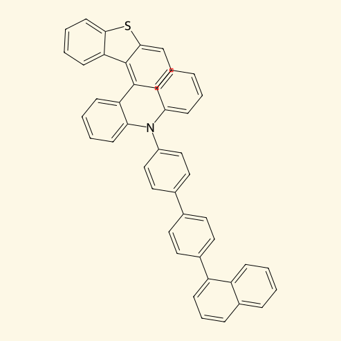 c1ccc(N(c2ccc(-c3ccc(-c4cccc5ccccc45)cc3)cc2)c2ccccc2-c2cccc3sc4ccccc4c23)cc1